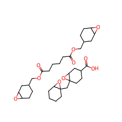 O=C(CCCCC(=O)OCC1CCC2OC2C1)OCC1CCC2OC2C1.O=C(O)C1CCC2(CC34CCCCC3O4)OC2C1